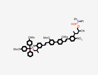 COc1ccc(C(OCC(C)c2cc(/C=C/c3ccc(-c4ccc(/C=C/c5ccc([N+](=O)[O-])c(C(C)CC(C#N)COP(O)N(C(C)C)C(C)C)c5)c(OC)c4)cc3OC)ccc2[N+](=O)[O-])(c2ccccc2)c2ccc(OC)cc2)cc1